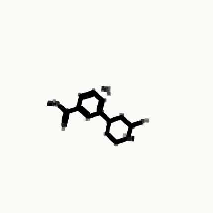 COC(=O)c1cccc(C2CCNC(F)C2)c1.Cl